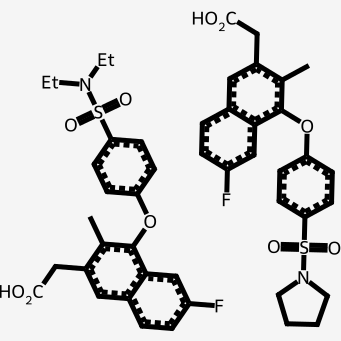 CCN(CC)S(=O)(=O)c1ccc(Oc2c(C)c(CC(=O)O)cc3ccc(F)cc23)cc1.Cc1c(CC(=O)O)cc2ccc(F)cc2c1Oc1ccc(S(=O)(=O)N2CCCC2)cc1